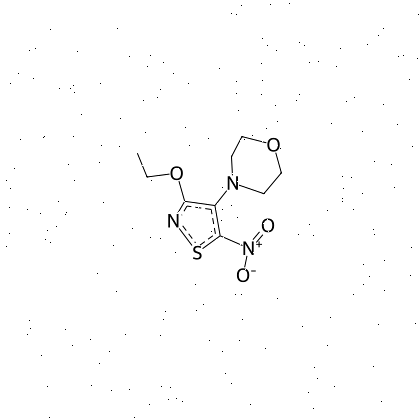 CCOc1nsc([N+](=O)[O-])c1N1CCOCC1